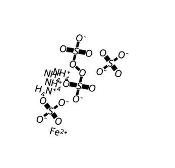 O=S(=O)([O-])OOS(=O)(=O)[O-].O=S(=O)([O-])[O-].O=S(=O)([O-])[O-].[Fe+2].[NH4+].[NH4+].[NH4+].[NH4+]